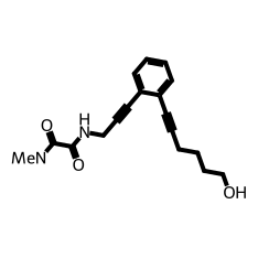 CNC(=O)C(=O)NCC#Cc1ccccc1C#CCCCCO